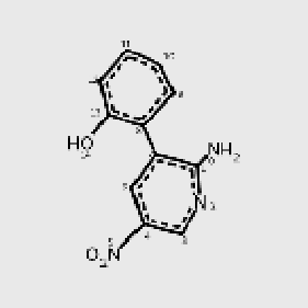 Nc1ncc([N+](=O)[O-])cc1-c1ccccc1O